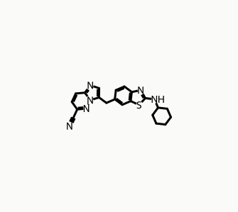 N#Cc1ccc2ncc(Cc3ccc4nc(NC5CCCCC5)sc4c3)n2n1